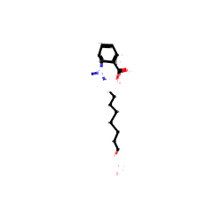 CCCCCCCCON=O.CN(C)c1ccccc1C(=O)O